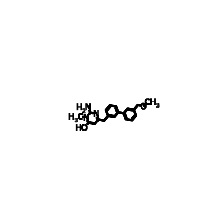 COCc1cccc(-c2cccc(CC3=NC(N)N(C)C(O)=C3)c2)c1